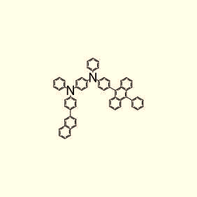 c1ccc(-c2c3ccccc3c(-c3ccc(N(c4ccccc4)c4ccc(N(c5ccccc5)c5ccc(-c6ccc7ccccc7c6)cc5)cc4)cc3)c3ccccc23)cc1